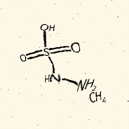 C.NNS(=O)(=O)O